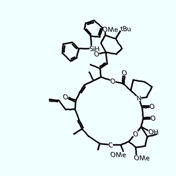 C=CCC1C=C(C)CC(C)CC(OC)C2OC(O)(C(=O)C(=O)N3CCCCC3C(=O)OC(C(C)=CC3(O[SiH](c4ccccc4)c4ccccc4)CCC(C(C)(C)C)C(OC)C3)C(C)C=CC1=O)C(C)CC2OC